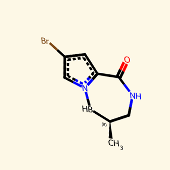 C[C@H]1Bn2cc(Br)cc2C(=O)NC1